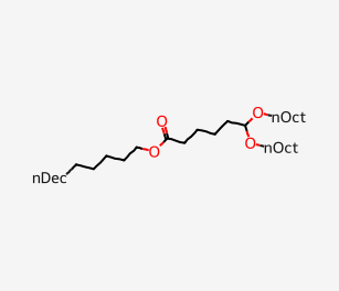 CCCCCCCCCCCCCCCOC(=O)CCCCC(OCCCCCCCC)OCCCCCCCC